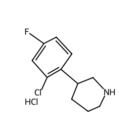 Cl.Fc1ccc(C2CCCNC2)c(Cl)c1